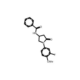 COc1ccc(N2CC(NC(=O)c3ccccc3)CC2=O)cc1F